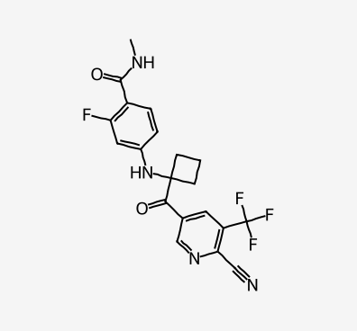 CNC(=O)c1ccc(NC2(C(=O)c3cnc(C#N)c(C(F)(F)F)c3)CCC2)cc1F